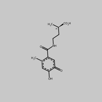 C[C@H](CCNC(=O)c1cc(=O)c(O)cn1C)C(=O)O